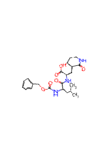 CC(C)CC(NC(=O)OCc1ccccc1)C(=O)NC(CC1CCCNC1=O)C(=O)O